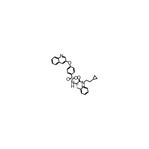 O=C(N[CH]CC1CC1)[C@H](Cc1ccccc1)NS(=O)(=O)c1ccc(Oc2cnc3ccccc3c2)cc1